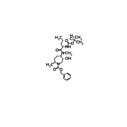 CCCC(NC(=O)OC(C)(C)C)C(=O)N(C)[C@@H]1CC[C@H](C)N(C(=O)OCc2ccccc2)C[C@H]1O